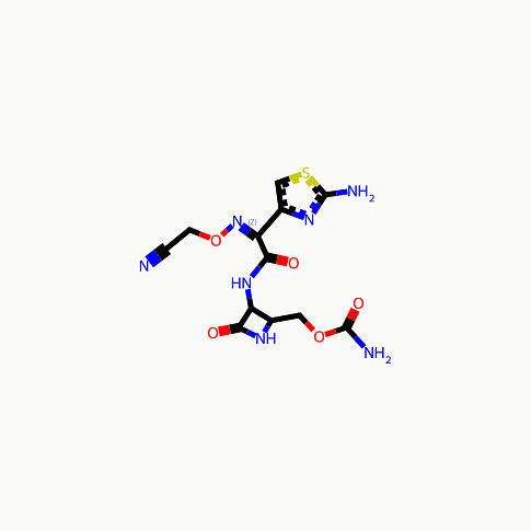 N#CCO/N=C(\C(=O)NC1C(=O)NC1COC(N)=O)c1csc(N)n1